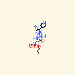 CCCCC[C@H](CN(O)C=O)C(=O)NNc1ncc(N(C)C)c(-c2ccncc2)n1